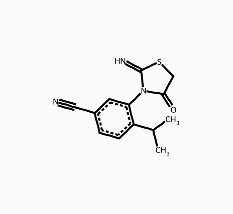 CC(C)c1ccc(C#N)cc1N1C(=N)SCC1=O